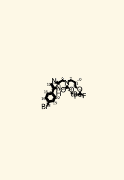 C[C@H](COC(F)F)CN(Cc1ncc(-c2ccc(Br)cc2)[nH]1)C(=O)OC(C)(C)C